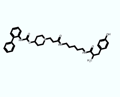 CC(Cc1ccc(O)cc1)C(=O)NCCCCCNC(=O)CCN1CCC(OC(=O)Nc2ccccc2-c2ccccc2)CC1